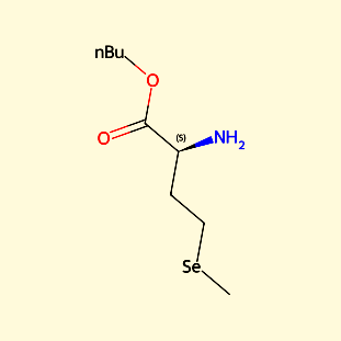 CCCCOC(=O)[C@@H](N)CC[Se]C